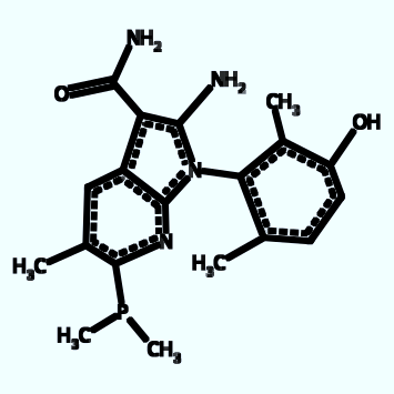 Cc1cc2c(C(N)=O)c(N)n(-c3c(C)ccc(O)c3C)c2nc1P(C)C